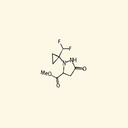 COC(=O)C1CC(=O)NN1C1(C(F)F)CC1